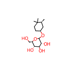 C[C@H]1C[C@@H](OC2O[C@H](CO)[C@@H](O)[C@H](O)[C@H]2O)CCC1(C)C